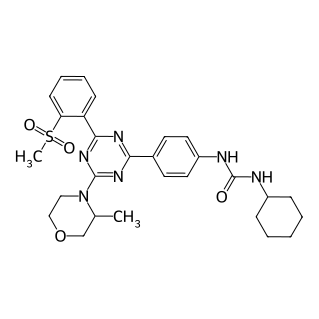 CC1COCCN1c1nc(-c2ccc(NC(=O)NC3CCCCC3)cc2)nc(-c2ccccc2S(C)(=O)=O)n1